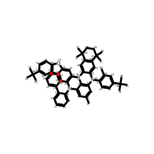 Cc1cc2c3c(c1)N(c1ccccc1-c1ccccc1)c1cc4c(cc1B3c1cc3c(cc1N2c1ccc(C(C)(C)C)cc1C)C(C)(C)CCC3(C)C)oc1ccc(C(C)(C)C)cc14